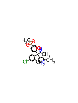 C/C(=N/O)[C@](c1ccc(S(C)(=O)=O)cc1)(c1ccnc(C)c1)c1ccc(Cl)cc1C